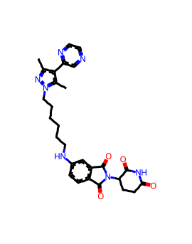 Cc1nn(CCCCCCNc2ccc3c(c2)C(=O)N(C2CCC(=O)NC2=O)C3=O)c(C)c1-c1cnccn1